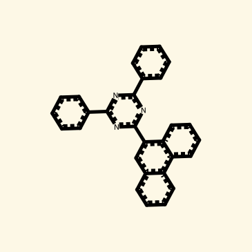 c1ccc(-c2nc(-c3ccccc3)nc(-c3cc4ccccc4c4ccccc34)n2)cc1